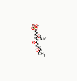 Cc1ccc(CCC(=O)CCC(=O)CCCOS(=O)(=O)[O-])o1.[Na+]